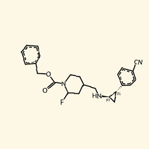 N#Cc1ccc([C@@H]2C[C@H]2NCC2CCN(C(=O)OCc3ccccc3)C(F)C2)cc1